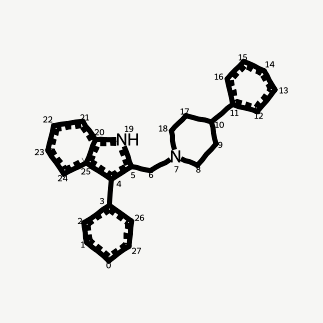 c1ccc(-c2c(CN3CCC(c4ccccc4)CC3)[nH]c3ccccc23)cc1